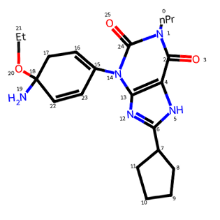 CCCn1c(=O)c2[nH]c(C3CCCC3)nc2n(C2=CCC(N)(OCC)C=C2)c1=O